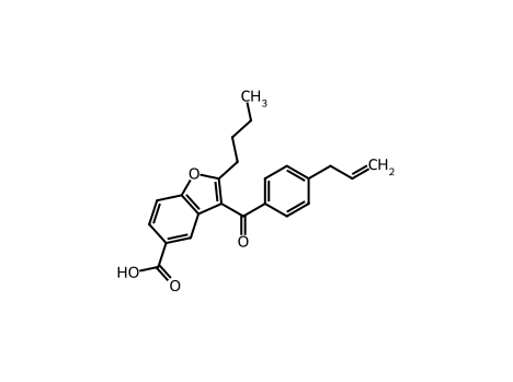 C=CCc1ccc(C(=O)c2c(CCCC)oc3ccc(C(=O)O)cc23)cc1